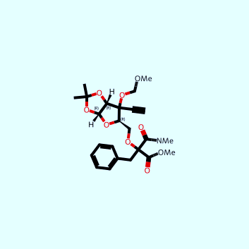 C#CC1(OCOC)[C@@H](COC(Cc2ccccc2)(C(=O)NC)C(=O)OC)O[C@@H]2OC(C)(C)O[C@@H]21